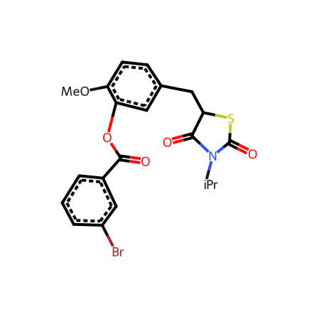 COc1ccc(CC2SC(=O)N(C(C)C)C2=O)cc1OC(=O)c1cccc(Br)c1